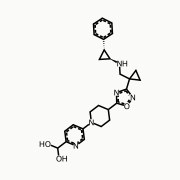 OC(O)c1ccc(N2CCC(c3nc(C4(CN[C@H]5C[C@@H]5c5ccccc5)CC4)no3)CC2)cn1